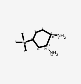 C[Si](C)(C)C1CC[C@@H](N)[C@H](N)C1